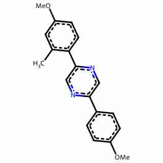 COc1ccc(-c2cnc(-c3ccc(OC)cc3C)cn2)cc1